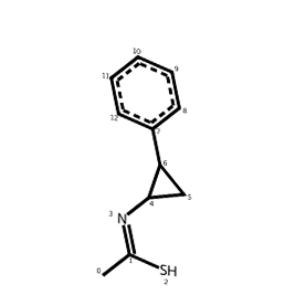 C/C(S)=N/C1CC1c1ccccc1